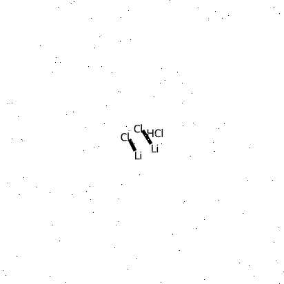 Cl.[Li][Cl].[Li][Cl]